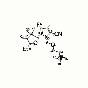 CC[C@H]1O[C@@H](c2c(F)cc(C#N)n2COCC[Si](C)(C)C)C(C)(C)[C@@H]1C